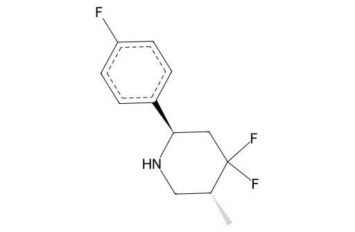 C[C@@H]1CN[C@@H](c2ccc(F)cc2)CC1(F)F